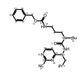 CC(C)CN(NC(=O)N(CCCNC(=O)OCc1ccccc1)C(C)(C)C)c1ccnc(C#N)n1